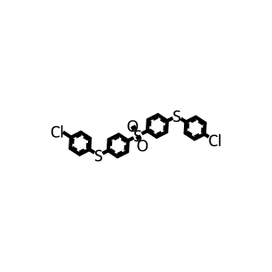 O=S(=O)(c1ccc(Sc2ccc(Cl)cc2)cc1)c1ccc(Sc2ccc(Cl)cc2)cc1